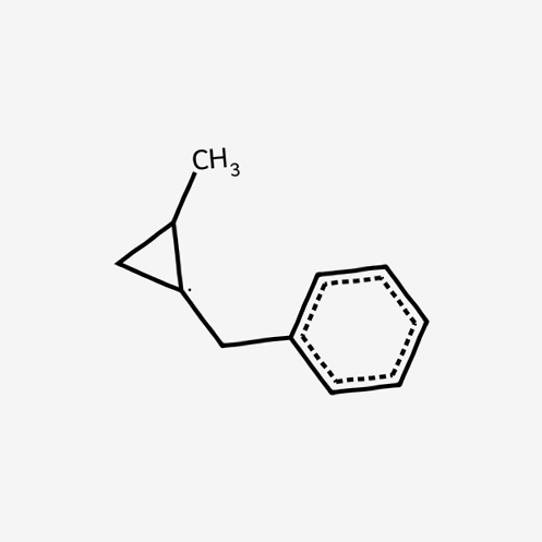 CC1C[C]1Cc1ccccc1